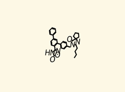 CCCCC1=NC2(CCCC2)C(=O)N1Cc1ccc(-c2cc(-c3ccccc3)ccc2-c2noc(=O)[nH]2)cc1